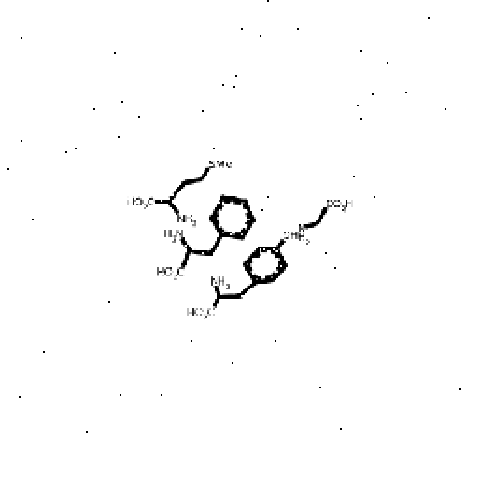 CSCCC(N)C(=O)O.NC(Cc1ccc(O)cc1)C(=O)O.NC(Cc1ccccc1)C(=O)O.NCC(=O)O